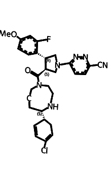 COc1ccc([C@@H]2CN(c3ccc(C#N)nn3)C[C@H]2C(=O)N2CCC[C@@H](C3C=CC(Cl)=CC3)NCC2)c(F)c1